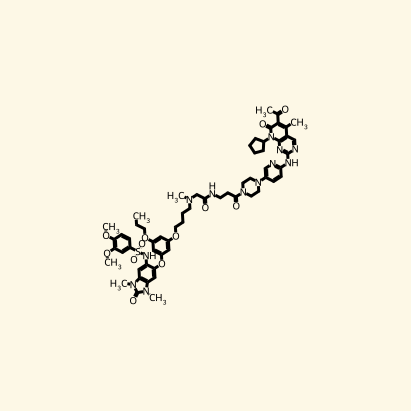 CCCOc1cc(OCCCCN(C)CC(=O)NCCC(=O)N2CCN(c3ccc(Nc4ncc5c(C)c(C(C)=O)c(=O)n(C6CCCC6)c5n4)nc3)CC2)cc(Oc2cc3c(cc2NS(=O)(=O)c2ccc(OC)c(OC)c2)n(C)c(=O)n3C)c1